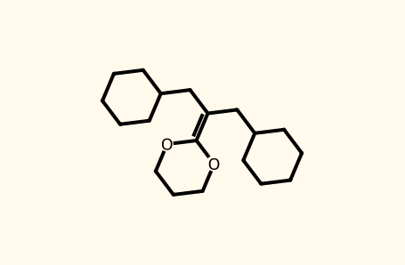 C1CCC(CC(CC2CCCCC2)=C2OCCCO2)CC1